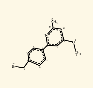 COc1cc(-c2ccc(CBr)cc2)nc(C)n1